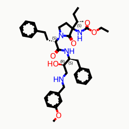 CCOC(=O)NC1([C@@H](C)CC)CCN([C@@H](CCc2ccccc2)C(=O)N[C@@H](Cc2ccccc2)[C@H](O)CNCc2cccc(OC)c2)C1=O